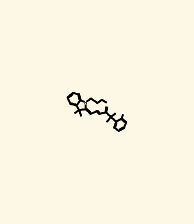 C=C(/C=C/C=C1\N(CCCC)c2ccccc2C1(C)C)C(C)(C)c1ccccc1C